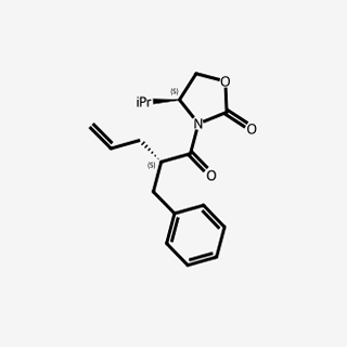 C=CC[C@@H](Cc1ccccc1)C(=O)N1C(=O)OC[C@@H]1C(C)C